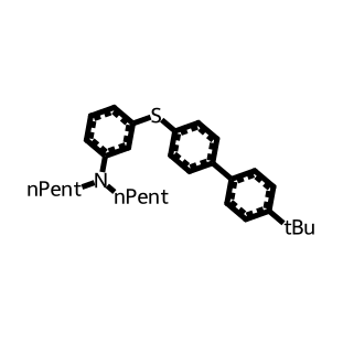 CCCCCN(CCCCC)c1cccc(Sc2ccc(-c3ccc(C(C)(C)C)cc3)cc2)c1